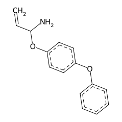 C=CC(N)Oc1ccc(Oc2ccccc2)cc1